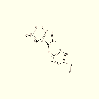 COc1ccc(Cn2ncc3ccc(Cl)nc32)cc1